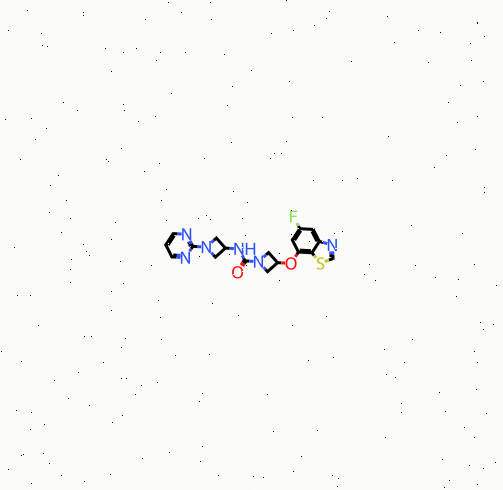 O=C(NC1CN(c2ncccn2)C1)N1CC(Oc2cc(F)cc3ncsc23)C1